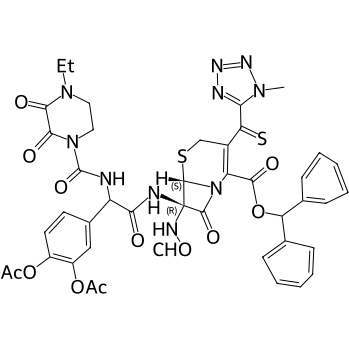 CCN1CCN(C(=O)NC(C(=O)N[C@]2(NC=O)C(=O)N3C(C(=O)OC(c4ccccc4)c4ccccc4)=C(C(=S)c4nnnn4C)CS[C@H]32)c2ccc(OC(C)=O)c(OC(C)=O)c2)C(=O)C1=O